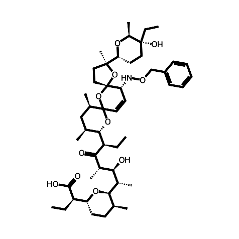 CC[C@@H](C(=O)[C@@H](C)[C@@H](O)[C@H](C)[C@@H]1O[C@@H]([C@@H](CC)C(=O)O)CC[C@@H]1C)[C@H]1OC2(C=C[C@@H](NOCc3ccccc3)[C@]3(CC[C@@](C)([C@H]4CC[C@](O)(CC)[C@H](C)O4)O3)O2)[C@H](C)C[C@@H]1C